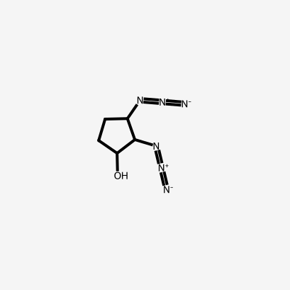 [N-]=[N+]=NC1CCC(O)C1N=[N+]=[N-]